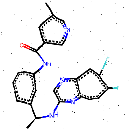 Cc1cncc(C(=O)Nc2cccc([C@H](C)Nc3cnc4cc(F)c(F)cc4n3)c2)c1